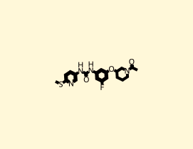 CSc1ccc(NC(=O)Nc2cc(F)cc(OC3CCCN(C(C)=O)C3)c2)cn1